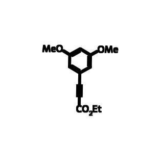 CCOC(=O)C#Cc1cc(OC)cc(OC)c1